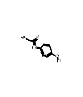 [CH2]CCC(=O)Oc1ccc(OCC)cc1